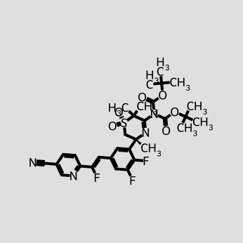 CC(C)(C)OC(=O)N(C(=O)OC(C)(C)C)C1=N[C@](C)(c2cc(/C=C(\F)c3ccc(C#N)cn3)cc(F)c2F)CS(=O)(=O)C1(C)C